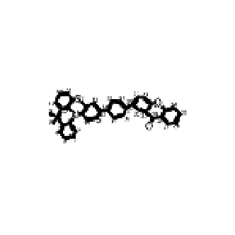 CC1(C)c2ccccc2N2c3ccc(-c4ccc(-c5ccc6oc7ccccc7c(=O)c6c5)cc4)cc3Sc3cccc1c32